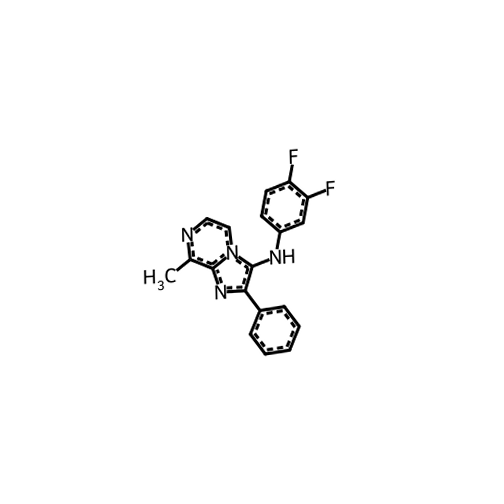 Cc1nccn2c(Nc3ccc(F)c(F)c3)c(-c3ccccc3)nc12